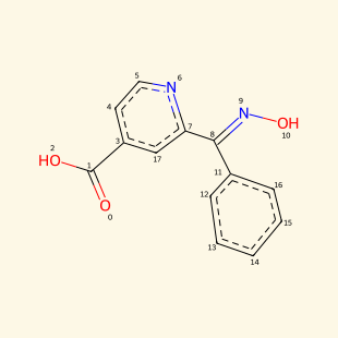 O=C(O)c1ccnc(/C(=N/O)c2ccccc2)c1